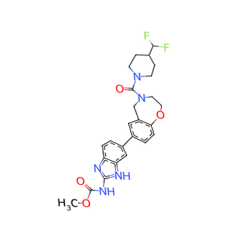 COC(=O)Nc1nc2ccc(-c3ccc4c(c3)CN(C(=O)N3CCC(C(F)F)CC3)CCO4)cc2[nH]1